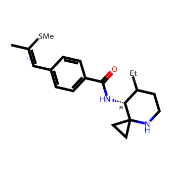 CCC1CCNC2(CC2)[C@@H]1NC(=O)c1ccc(/C=C(/C)SC)cc1